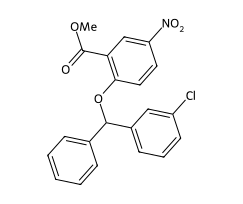 COC(=O)c1cc([N+](=O)[O-])ccc1OC(c1ccccc1)c1cccc(Cl)c1